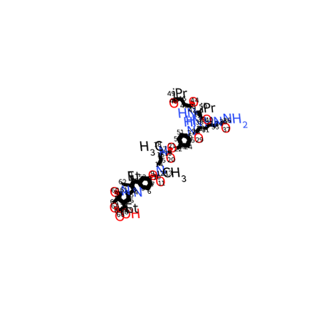 CCc1c2c(nc3ccc(OC(=O)N(C)CCCN(C)C(=O)OCc4ccc(NC(=O)[C@H](CCCNC(N)=O)NC(=O)[C@@H](NC(=O)CCC(=O)C(C)C)C(C)C)cc4)cc13)-c1cc3c(c(=O)n1C2)COC(=O)[C@]3(O)CC